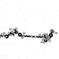 Cc1ncsc1-c1ccc(CNC(=O)[C@@H]2C[C@@H](O)CN2C(=O)C(NCCCCCOCCOCCCCCNC(=O)c2ccc(-n3cc(NC(=O)c4coc(-c5ccnc(NCC(F)(F)F)c5)n4)c(C(N)=O)n3)cc2)C(C)(C)C)cc1